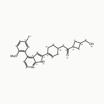 COc1ccc(F)cc1-c1ccnc2[nH]c(C3=CCN(CC(=O)N4CC(CO)C4)CC3)cc12